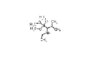 CCNC(C(C)C)[Si](OC)(OC)OC